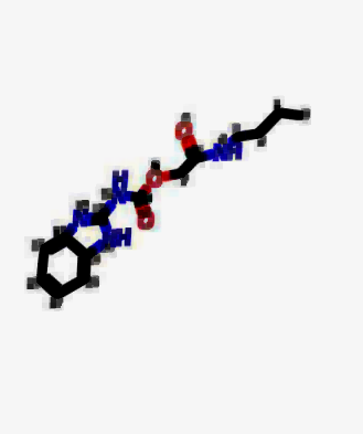 CCCCNC(=O)COC(=O)Nc1nc2ccccc2[nH]1